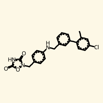 Cc1cc(Cl)ccc1-c1cccc(CNc2ccc(Cn3oc(=O)[nH]c3=O)cc2)c1